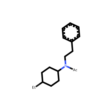 CCC1CCC(N(CCc2ccccc2)C(C)=O)CC1